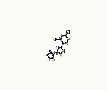 Fc1cc(Cl)ccc1-c1ncc(-c2cccs2)o1